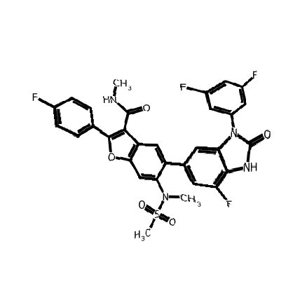 CNC(=O)c1c(-c2ccc(F)cc2)oc2cc(N(C)S(C)(=O)=O)c(-c3cc(F)c4[nH]c(=O)n(-c5cc(F)cc(F)c5)c4c3)cc12